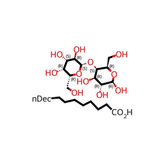 CCCCCCCCCCCCCCCCCC(=O)O.OC[C@H]1O[C@@H](O[C@H]2[C@H](O)[C@@H](O)[C@H](O)O[C@@H]2CO)[C@H](O)[C@@H](O)[C@H]1O